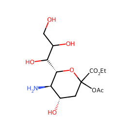 CCOC(=O)C1(OC(C)=O)C[C@H](O)[C@@H](N)[C@H](C(O)C(O)CO)O1